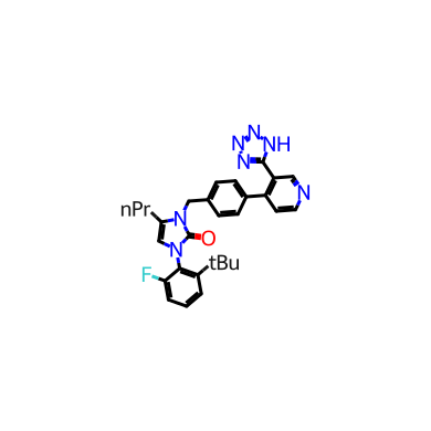 CCCc1cn(-c2c(F)cccc2C(C)(C)C)c(=O)n1Cc1ccc(-c2ccncc2-c2nnn[nH]2)cc1